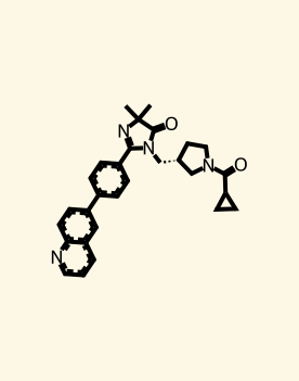 CC1(C)N=C(c2ccc(-c3ccc4ncccc4c3)cc2)N(C[C@@H]2CCN(C(=O)C3CC3)C2)C1=O